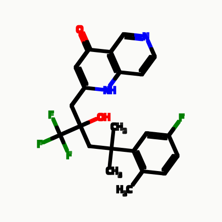 Cc1ccc(F)cc1C(C)(C)CC(O)(Cc1cc(=O)c2cnccc2[nH]1)C(F)(F)F